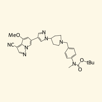 COc1cc(-c2cnn(C3CCN(Cc4ccc(N(C)C(=O)OC(C)(C)C)cc4)CC3)c2)cn2ncc(C#N)c12